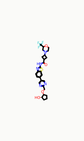 O=C(Nc1nc2ccc(-c3cnc(CO[C@H]4CCC[C@@H]4O)nc3)cc2s1)C1CC(N2CCOC(C(F)(F)F)C2)C1